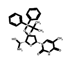 Cc1cn([C@H]2C[C@H](O[Si](c3ccccc3)(c3ccccc3)C(C)(C)C)[C@@H](C(N)O)O2)c(=O)[nH]c1=O